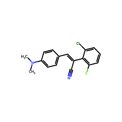 CN(C)c1ccc(/C=C(\C#N)c2c(F)cccc2Cl)cc1